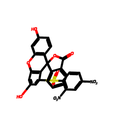 O=C1OC2(c3ccc(O)cc3Oc3cc(O)cc(S(=O)(=O)c4ccc([N+](=O)[O-])cc4[N+](=O)[O-])c32)c2ccccc21